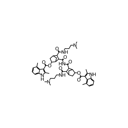 Cc1[nH]c2cccc(C)c2c1C(=O)OC1CC2CC1C(C(=O)NC(=O)C1C3CC(CC3OC(=O)c3c(C)[nH]c4cccc(C)c34)C1C(=O)NCCCN(C)C)C2C(=O)NCCCN(C)C